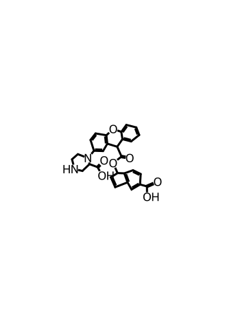 O=C(O)c1ccc2c(c1)C=CC2OC(=O)C1c2ccccc2Oc2ccc(N3CCNCC3C(=O)O)cc21